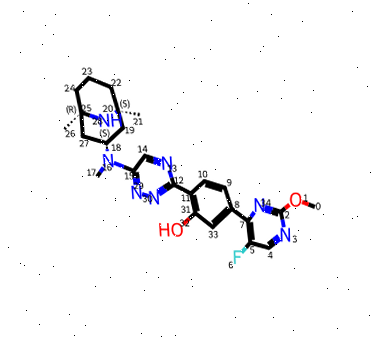 COc1ncc(F)c(-c2ccc(-c3ncc(N(C)[C@H]4C[C@]5(C)CCC[C@](C)(C4)N5)nn3)c(O)c2)n1